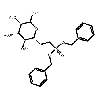 CC(=O)OC1O[C@H](CCP(=O)(OCc2ccccc2)OCc2ccccc2)[C@@H](OC(C)=O)[C@H](OC(C)=O)[C@@H]1OC(C)=O